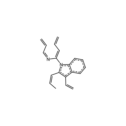 C=C/C=N\C(=C/C=C)n1c(/C=C\C)c(C=C)c2ccccc21